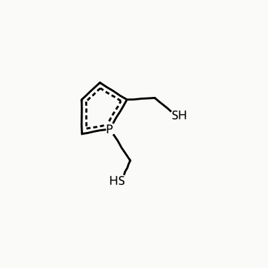 SCc1cccp1CS